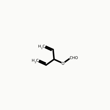 C=CC(C=C)OC=O